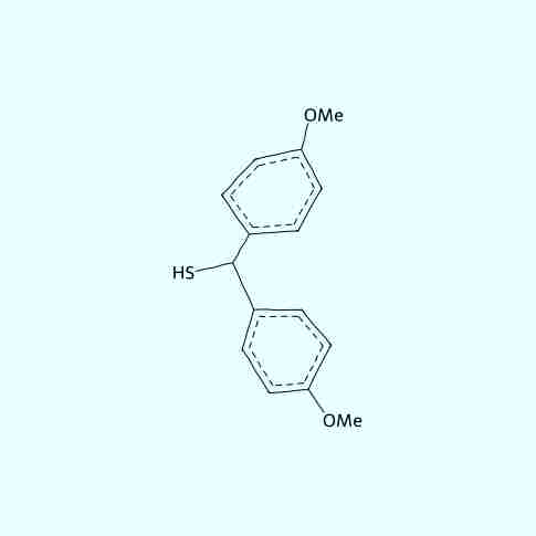 COc1ccc(C(S)c2ccc(OC)cc2)cc1